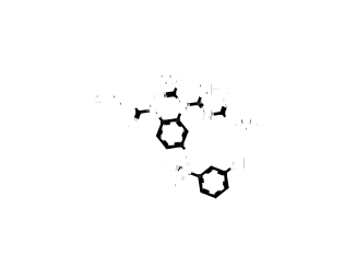 COC(=O)N=C(N)N(C(=O)OC)c1cc(OS(=O)(=O)c2cccc(C(F)(F)F)c2)ccc1NC(=O)NC(C)=O